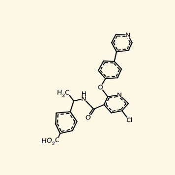 CC(NC(=O)c1cc(Cl)cnc1Oc1ccc(-c2ccncc2)cc1)c1ccc(C(=O)O)cc1